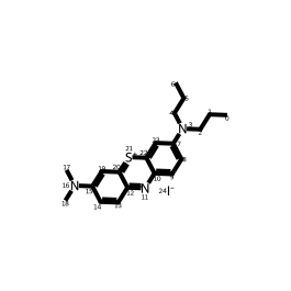 CCCN(CCC)c1ccc2nc3ccc(N(C)C)cc3[s+]c2c1.[I-]